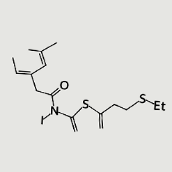 C=C(CCSCC)SC(=C)N(I)C(=O)C/C(C=C(C)C)=C/C